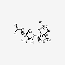 CC[C@@H](NCC(=O)[C@@H]1C[C@H](C)CC[C@H]1C(C)C)C(=O)OCC(C)C